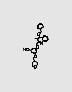 Cc1c(COc2cc(O)cc(OCC3CCOCC3)c2)nc2ccccc2c1OCc1ccccc1